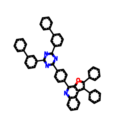 c1ccc(-c2cccc(-c3nc(-c4ccc(-c5nc6ccccc6c6c(-c7ccccc7)c(-c7ccccc7)oc56)cc4)nc(-c4cccc(-c5ccccc5)c4)n3)c2)cc1